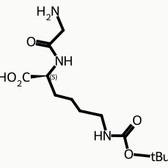 CC(C)(C)OC(=O)NCCCC[C@H](NC(=O)CN)C(=O)O